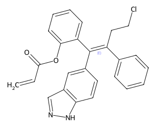 C=CC(=O)Oc1ccccc1/C(=C(\CCCl)c1ccccc1)c1ccc2[nH]ncc2c1